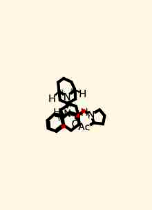 CC(=O)C1CCCN1CC(=O)N(c1ccccc1)[C@H]1C[C@H]2CCC[C@@H](C1)N2[C@H]1C[C@@H]2CCC[C@@H](C2)C1